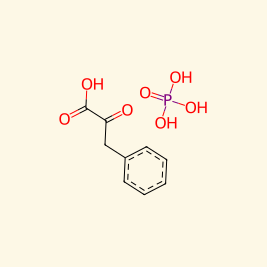 O=C(O)C(=O)Cc1ccccc1.O=P(O)(O)O